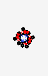 O=C(OC1=C2N=C(C(c3ccccc3)=C2c2ccccc2)C(OC(=O)c2ccccc2)=c2[nH]c(c(-c3ccccc3)c2-c2ccccc2)=C(OC(=O)c2ccccc2)C2=NC(=C(OC(=O)c3ccccc3)c3[nH]c1c(-c1ccccc1)c3-c1ccccc1)C(c1ccccc1)=C2c1ccccc1)c1ccccc1